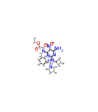 CCOC(=O)CN(Cc1cccc(CN2CCCC2)c1)c1nc(NC2CCC2)nc(N)c1[N+](=O)[O-]